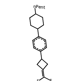 CCCCCC1CCC(c2ccc(C3CC(=C(F)F)C3)cc2)CC1